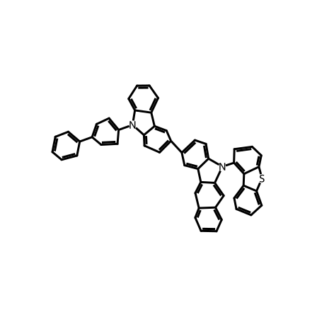 c1ccc(-c2ccc(-n3c4ccccc4c4cc(-c5ccc6c(c5)c5cc7ccccc7cc5n6-c5cccc6sc7ccccc7c56)ccc43)cc2)cc1